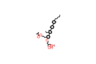 C=C(C)C(=O)OCCCc1cc(-c2ccc(-c3ccc(-c4ccc(CCCCC)cc4)cc3)cc2CC)ccc1OCCC(CO)CO